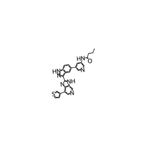 CCCC(=O)Nc1cncc(-c2ccc3[nH]nc(-c4nc5c(-c6ccsc6)cncc5[nH]4)c3c2)c1